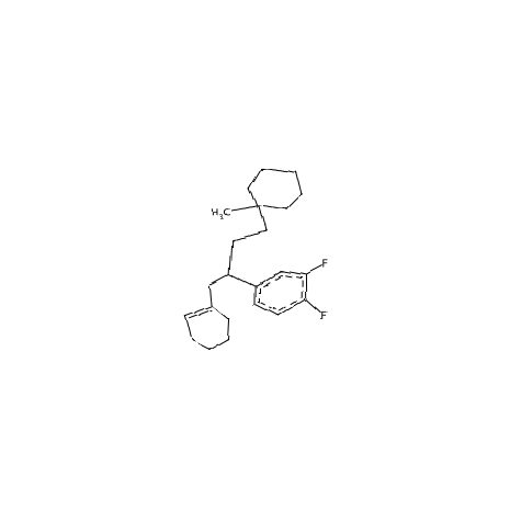 CC1(CCC(CC2=CCCCC2)c2ccc(F)c(F)c2)CCCCC1